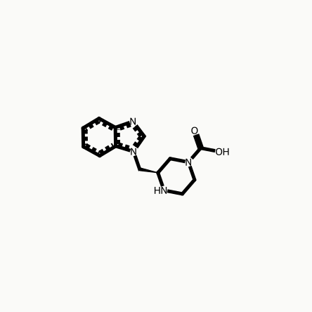 O=C(O)N1CCN[C@@H](Cn2cnc3ccccc32)C1